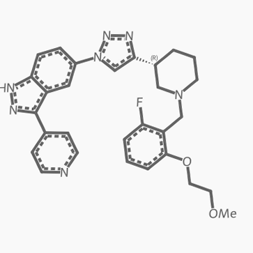 COCCOc1cccc(F)c1CN1CCC[C@@H](c2cn(-c3ccc4[nH]nc(-c5ccncc5)c4c3)nn2)C1